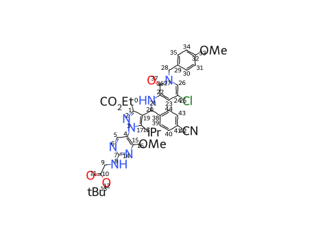 CCOC(=O)c1nn(-c2cnc(NCC(=O)OC(C)(C)C)nc2OC)c(C(C)C)c1C(Nc1cc(Cl)cn(Cc2ccc(OC)cc2)c1=O)c1ccc(C#N)cc1